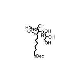 CCCCCCCCCCCCCCCCC(OP(=O)(O)O)C(O)CO.OCC(O)CO